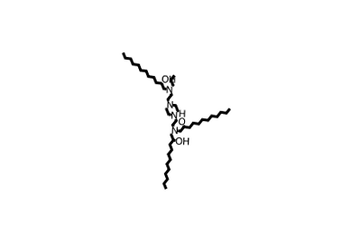 CCCCCCCCCCC(O)CN(CCC)CCN1CCN(CCN(CC(O)CCCCCCCCCC)CC(O)CCCCCCCCCC)CC1